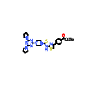 COC(=O)c1ccc(-c2csc(NC(=S)N3CCN(c4nc(N5CCCC5)nc(N5CCCC5)n4)CC3)n2)cc1